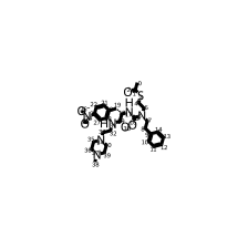 CC(=O)SCCN(CCc1ccccc1)C(=O)N[C@@H](Cc1ccc([N+](=O)[O-])cc1)C(=O)NCCN1CCN(C)CC1